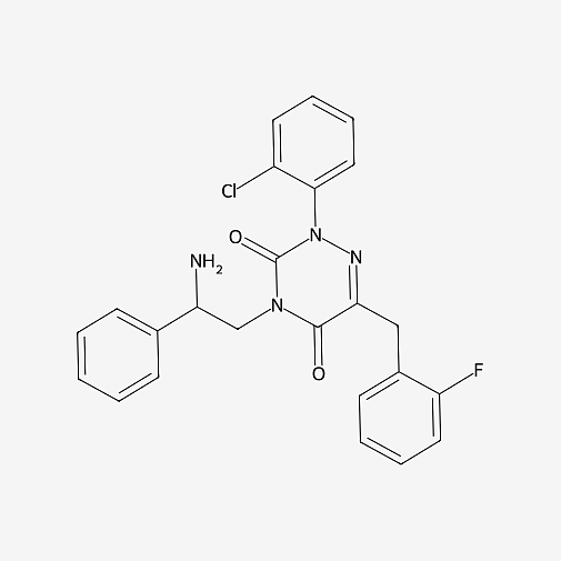 NC(Cn1c(=O)c(Cc2ccccc2F)nn(-c2ccccc2Cl)c1=O)c1ccccc1